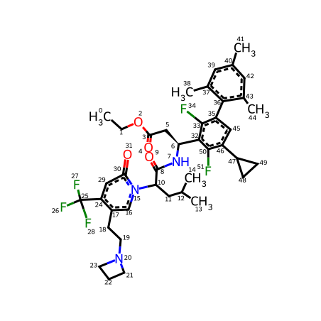 CCOC(=O)C[C@H](NC(=O)C(CC(C)C)n1cc(CCN2CCC2)c(C(F)(F)F)cc1=O)c1c(F)c(-c2c(C)cc(C)cc2C)cc(C2CC2)c1F